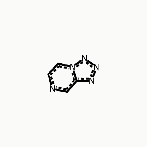 c1cn2nnnc2cn1